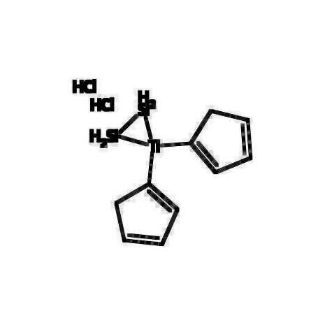 C1=CC[C]([Ti]2([C]3=CC=CC3)[SiH2][SiH2]2)=C1.Cl.Cl